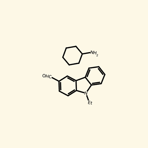 CCn1c2ccccc2c2cc(C=O)ccc21.NC1CCCCC1